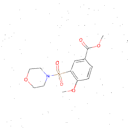 COC(=O)c1ccc(OC)c(S(=O)(=O)N2CCOCC2)c1